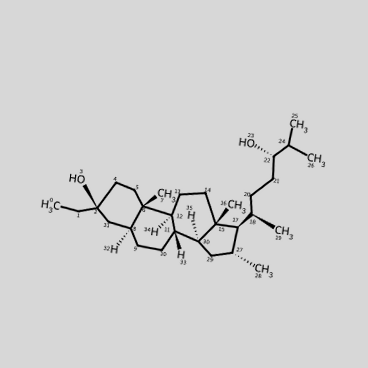 CC[C@]1(O)CC[C@@]2(C)[C@@H](CC[C@@H]3[C@@H]2CC[C@]2(C)[C@@H]([C@H](C)CC[C@H](O)C(C)C)[C@H](C)C[C@@H]32)C1